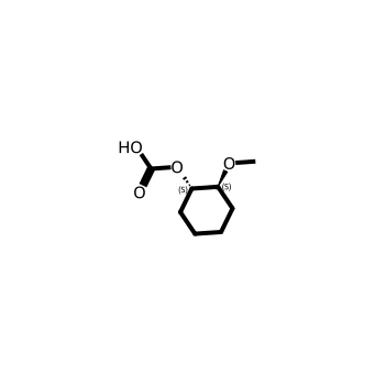 CO[C@H]1CCCC[C@@H]1OC(=O)O